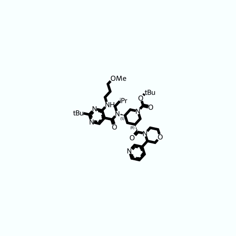 COCCCNc1nc(C(C)(C)C)ncc1C(=O)N(CC(C)C)[C@H]1C[C@@H](C(=O)N2CCOCC2c2cccnc2)CN(C(=O)OC(C)(C)C)C1